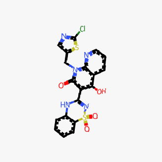 O=c1c(C2=NS(=O)(=O)c3ccccc3N2)c(O)c2cccnc2n1Cc1cnc(Cl)s1